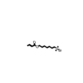 CC=CC(=O)OCCCCCCC[Si](C)(C)Br